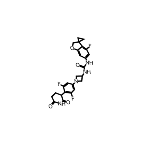 O=C1CCC(c2c(F)cc(N3CC(NC(=O)Nc4cc(F)c5c(c4)OCC54CC4)C3)cc2F)C(=O)N1